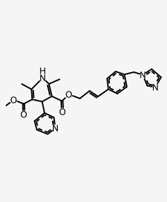 COC(=O)C1=C(C)NC(C)=C(C(=O)OCC=Cc2ccc(Cn3ccnc3)cc2)C1c1cccnc1